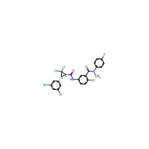 CN(C(=O)c1cc(NC(=O)[C@H]2[C@H](c3cc(Br)cc(Br)c3)C2(Cl)Cl)ccc1Cl)c1ccc(F)cc1